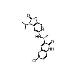 CC(C)n1c(=O)oc2cnc(N[C@@H](C)c3cc4cc(Cl)ccc4[nH]c3=O)cc21